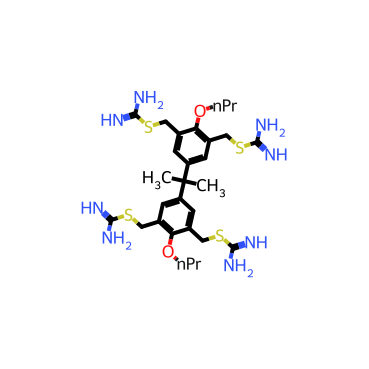 CCCOc1c(CSC(=N)N)cc(C(C)(C)c2cc(CSC(=N)N)c(OCCC)c(CSC(=N)N)c2)cc1CSC(=N)N